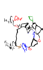 C[C@H](O)CO[C@H]1/C=C/C[C@H](C)[C@@H](C)SNC(=O)c2ccc3c(c2)N(C[C@@H]2CC[C@H]21)C[C@@]1(CCCc2cc(Cl)ccc21)CO3